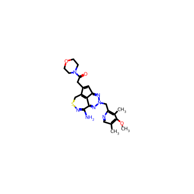 COc1c(C)cnc(Cn2nc3cc(CC(=O)N4CCOCC4)c4c-3c(n2)C(N)=NSC4)c1C